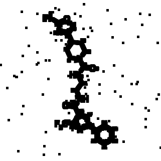 CC(C)c1nc(C2CCN(C(=O)NCCNC(=O)c3cn(-c4ccccc4)nc3C(F)(F)F)CC2)no1